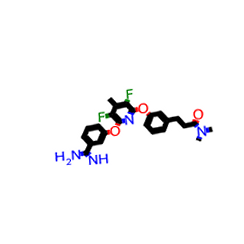 Cc1c(F)c(Oc2cccc(CCC(=O)N(C)C)c2)nc(Oc2cccc(C(=N)N)c2)c1F